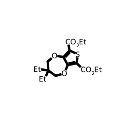 CCOC(=O)c1sc(C(=O)OCC)c2c1OCC(CC)(CC)CO2